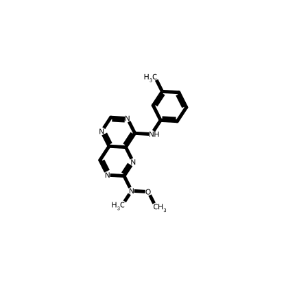 CON(C)c1ncc2ncnc(Nc3cccc(C)c3)c2n1